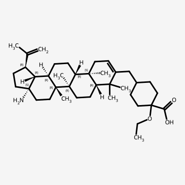 C=C(C)[C@@H]1CC[C@]2(N)CC[C@]3(C)[C@H](CC[C@@H]4[C@@]5(C)CC=C(CC6CCC(OCC)(C(=O)O)CC6)C(C)(C)[C@@H]5CC[C@]43C)[C@@H]12